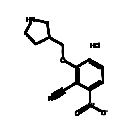 Cl.N#Cc1c(OCC2CCNC2)cccc1[N+](=O)[O-]